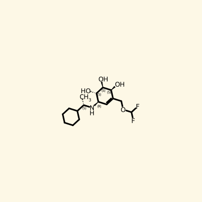 C[C@H](N[C@@H]1C=C(COC(F)F)[C@H](O)[C@H](O)[C@H]1O)C1CCCCC1